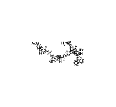 CC(=O)O[C@@H](C)/C=C\C(=O)N[C@@H]1C[C@H](C)C(C/C=C(C)/C=C/[C@@H]2C[C@]3(CO3)C[C@@H](CC(=O)NNC(=O)OCc3ccc(NC(=O)[C@H](CCCNC(N)=O)NC(=O)C(NC(=O)OCC4c5ccccc5-c5ccccc54)C(C)C)cc3)O2)O[C@@H]1C